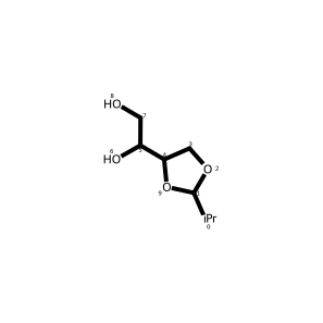 CC(C)C1OCC(C(O)CO)O1